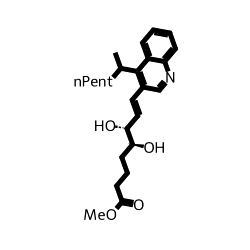 CCCCCC(C)c1c(/C=C/[C@@H](O)[C@@H](O)CCCC(=O)OC)cnc2ccccc12